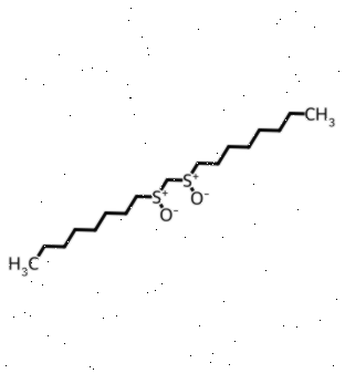 CCCCCCCC[S+]([O-])C[S+]([O-])CCCCCCCC